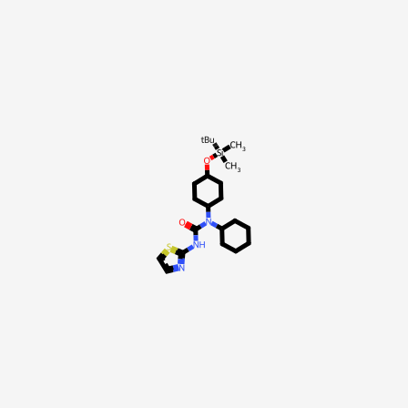 CC(C)(C)[Si](C)(C)OC1CCC(N(C(=O)Nc2nccs2)C2CCCCC2)CC1